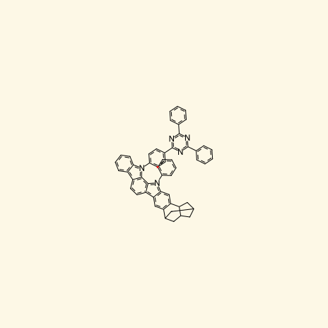 c1ccc(-c2nc(-c3ccccc3)nc(-c3ccc(-n4c5ccccc5c5ccc6c7cc8c(cc7n(-c7ccccc7)c6c54)C4CC5CC8CC4C5)cc3)n2)cc1